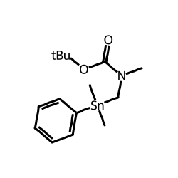 CN([CH2][Sn]([CH3])([CH3])[c]1ccccc1)C(=O)OC(C)(C)C